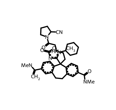 C=C(NC)c1ccc2c(c1)CCc1cc(C(=O)NC)ccc1C2(C[C@@H](C)NCC(=O)N1CCCC1C#N)c1nc(=O)on1C1CCCCC1